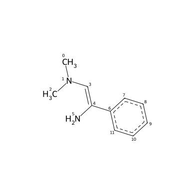 CN(C)C=C(N)c1ccccc1